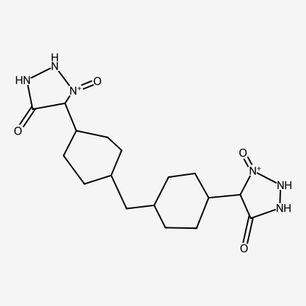 O=C1NN[N+](=O)C1C1CCC(CC2CCC(C3C(=O)NN[N+]3=O)CC2)CC1